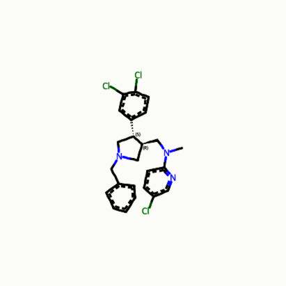 CN(C[C@H]1CN(Cc2ccccc2)C[C@@H]1c1ccc(Cl)c(Cl)c1)c1ccc(Cl)cn1